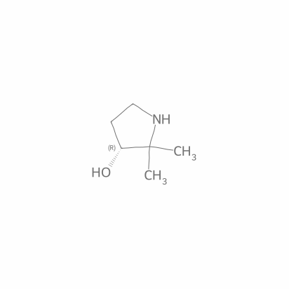 CC1(C)NCC[C@H]1O